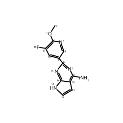 COc1ncc(-c2nc(N)c3cc[nH]c3n2)cc1F